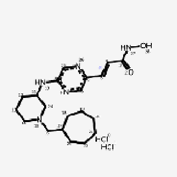 Cl.Cl.O=C(/C=C/c1cnc(NC2CCCN(CC3CCCCCC3)C2)cn1)NO